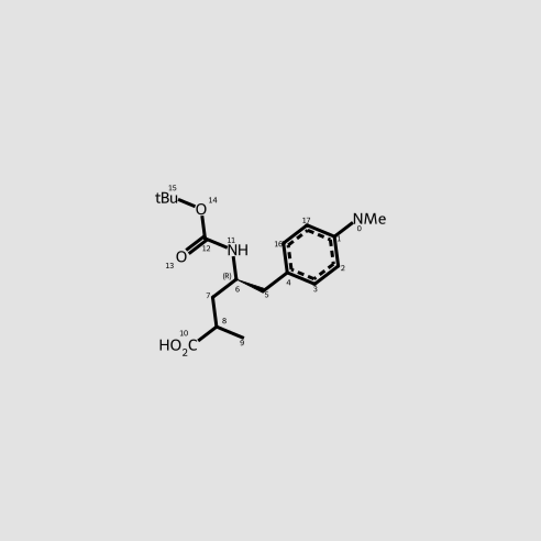 CNc1ccc(C[C@@H](CC(C)C(=O)O)NC(=O)OC(C)(C)C)cc1